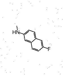 CNc1ccc2cc(F)ccc2c1